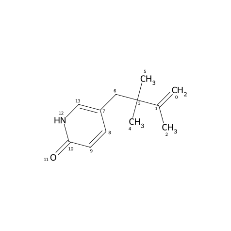 C=C(C)C(C)(C)Cc1ccc(=O)[nH]c1